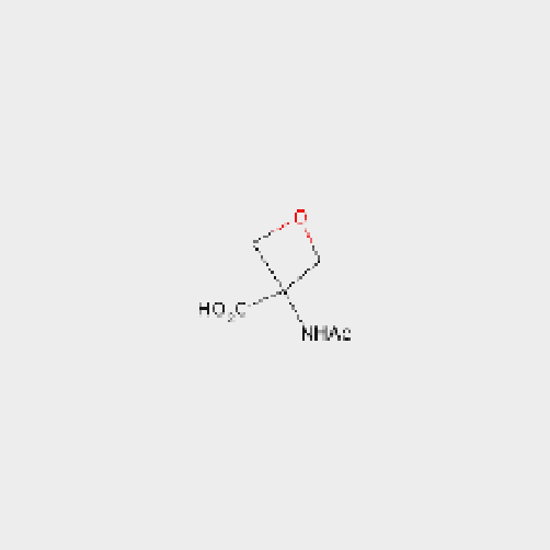 CC(=O)NC1(C(=O)O)COC1